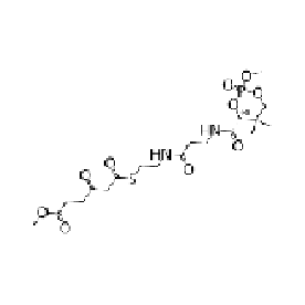 COC(=O)CCC(=O)CC(=O)SCCNC(=O)CCNC(=O)[C@@H]1OP(=O)(OC)OCC1(C)C